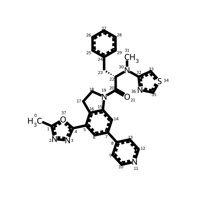 Cc1nnc(-c2cc(-c3ccncc3)cc3c2CCN3C(=O)[C@H](Cc2ccccc2)N(C)c2cscn2)o1